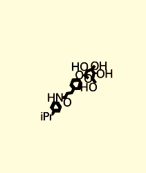 CC(C)c1ccc(NC(=O)CCc2ccc(O[C@@H]3OC(CO)[C@H](O)C(O)C3O)cc2)cc1